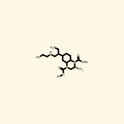 COC(=O)N1C2CCC(C(CN)CNCCO)CC2N(C(=O)OC(C)C)C[C@@H]1C